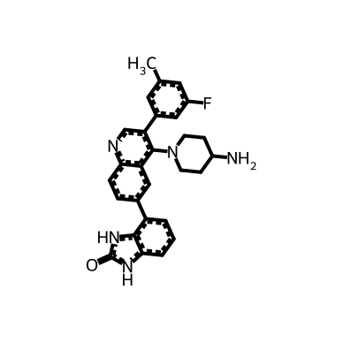 Cc1cc(F)cc(-c2cnc3ccc(-c4cccc5[nH]c(=O)[nH]c45)cc3c2N2CCC(N)CC2)c1